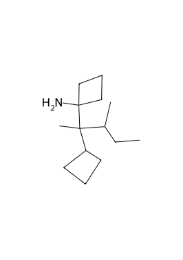 CCC(C)C(C)(C1CCC1)C1(N)CCC1